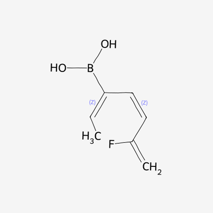 C=C(F)/C=C\C(=C/C)B(O)O